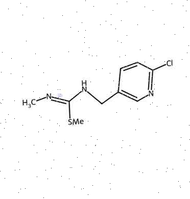 C/N=C(/NCc1ccc(Cl)nc1)SC